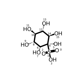 O=S(=O)(O)[C@@]1(O)[C@H](O)[C@H](O)[C@@H](O)[C@H](O)[C@H]1O